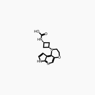 O=C(O)N[C@H]1C[C@@H](N2CCOc3cnc4[nH]ccc4c32)C1